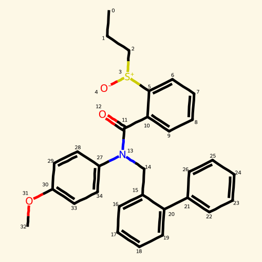 CCC[S+]([O-])c1ccccc1C(=O)N(Cc1ccccc1-c1ccccc1)c1ccc(OC)cc1